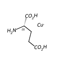 N[C@@H](CCC(=O)O)C(=O)O.[Cu]